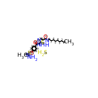 CCCCCCCCCNC(=O)c1cnc(NC(=O)c2ccc(OSN(C)N)cc2)s1.S